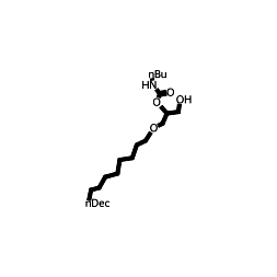 CCCCCCCCCCCCCCCCCCOCC(CO)OC(=O)NCCCC